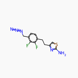 [N-]=[N+]=NCc1ccc(CCc2csc(N)n2)c(F)c1F